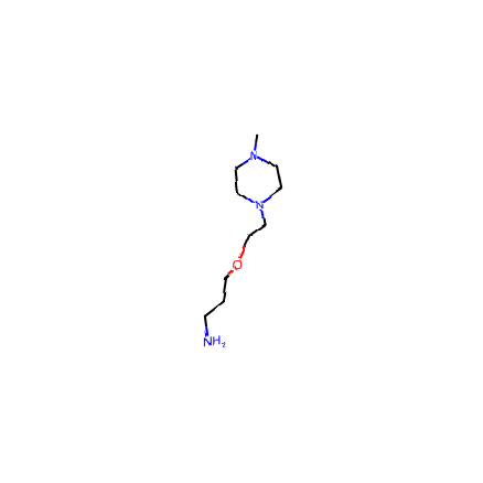 CN1CCN(CCOCCCN)CC1